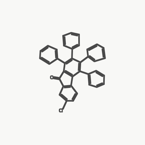 O=C1c2cc(Cl)ccc2-c2c1c(-c1ccccc1)c(-c1ccccc1)c(-c1ccccc1)c2-c1ccccc1